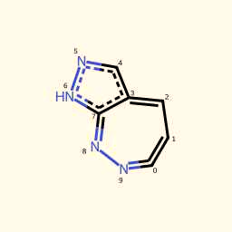 C1=CC=c2cn[nH]c2=NN=1